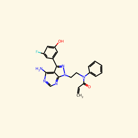 C=CC(=O)N(CCn1nc(-c2cc(O)cc(F)c2)c2c(N)ncnc21)c1ccccc1